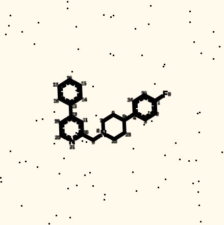 Fc1ccc(C2CCN(Cc3cc(-c4ccccc4)ccn3)CC2)cc1